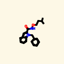 CC(C)CCONC(=O)c1cc2ccccc2n1Cc1ccccc1